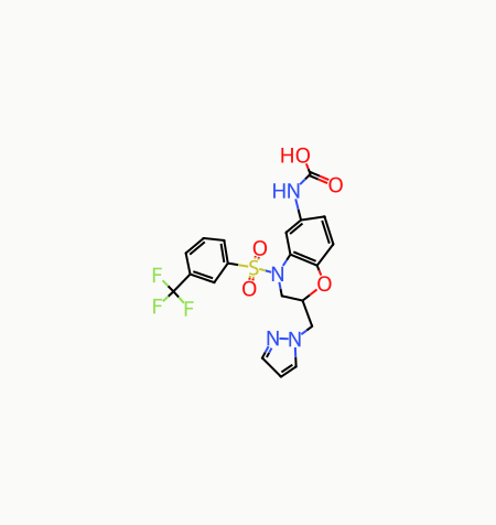 O=C(O)Nc1ccc2c(c1)N(S(=O)(=O)c1cccc(C(F)(F)F)c1)CC(Cn1cccn1)O2